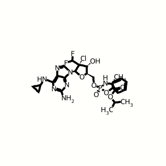 CC(C)OC(=O)[C@@H](C)NP(=O)(OC[C@H]1O[C@@H](n2cnc3c(NC4CC4)nc(N)nc32)[C@@](Cl)(C(F)F)[C@@H]1O)Oc1ccccc1